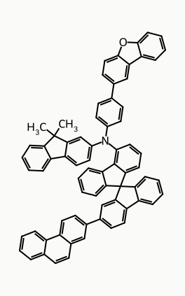 CC1(C)c2ccccc2-c2ccc(N(c3ccc(-c4ccc5oc6ccccc6c5c4)cc3)c3cccc4c3-c3ccccc3C43c4ccccc4-c4ccc(-c5ccc6c(ccc7ccccc76)c5)cc43)cc21